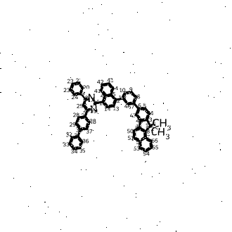 CC1(C)c2ccc(-c3cccc(-c4ccc(-c5nc(-c6ccccc6)cc(-c6ccc(-c7ccccc7)cc6)n5)c5ccccc45)c3)cc2-c2ccc3ccccc3c21